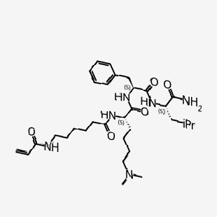 C=CC(=O)NCCCCCC(=O)N[C@@H](CCCCN(C)C)C(=O)N[C@@H](Cc1ccccc1)C(=O)N[C@@H](CC(C)C)C(N)=O